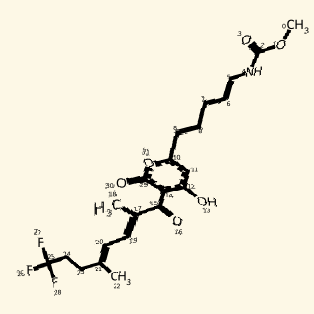 COC(=O)N/C=C/CCCc1cc(O)c(C(=O)/C(C)=C/C=C(\C)CCC(F)(F)F)c(=O)o1